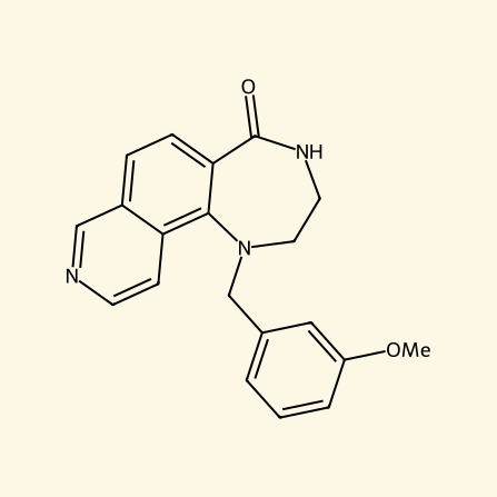 COc1cccc(CN2CCNC(=O)c3ccc4cnccc4c32)c1